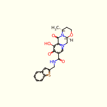 C[C@@H]1CCO[C@H]2Cn3cc(C(=O)NCc4cc5ccccc5s4)c(=O)c(O)c3C(=O)N12